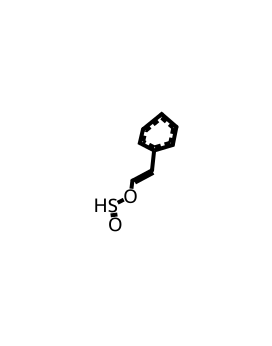 O=[SH]OC=Cc1ccccc1